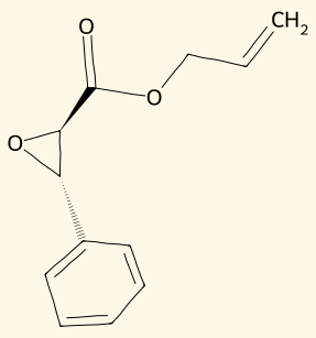 C=CCOC(=O)[C@@H]1O[C@H]1c1ccccc1